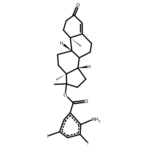 CC1(OC(=O)c2cc(I)cc(I)c2N)CC[C@H]2C3CCC4=CC(=O)CC[C@]4(C)[C@H]3CC[C@@]21C